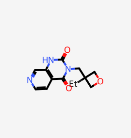 CCC1(Cn2c(=O)[nH]c3cnccc3c2=O)COC1